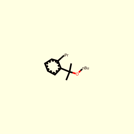 CCCCOC(C)(C)c1ccccc1C(C)C